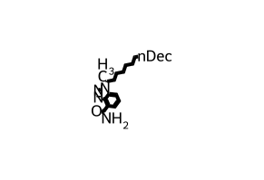 CCCCCCCCCCCCCCCCC(C)n1nnc2c(C(N)=O)cccc21